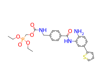 CCOP(=O)(COC(=O)NCc1ccc(C(=O)Nc2cc(-c3cccs3)ccc2N)cc1)OCC